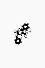 O=C(O)[C@H](Cc1ccccc1)N[C@@H](Cc1ccccc1)C(=O)O